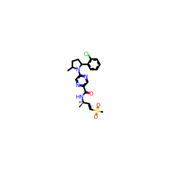 CC1CCC(c2ccccc2Cl)N1c1cnc(C(=O)N[C@H](C)/C=C/S(C)(=O)=O)cn1